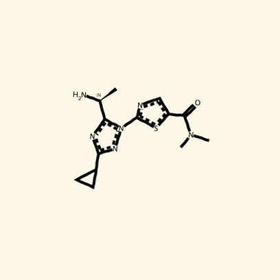 C[C@H](N)c1nc(C2CC2)nn1-c1ncc(C(=O)N(C)C)s1